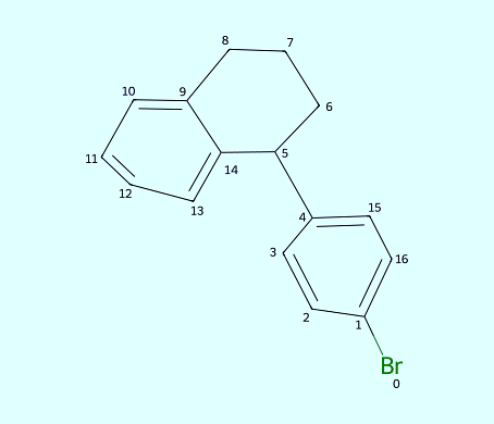 Brc1ccc(C2CCCc3ccccc32)cc1